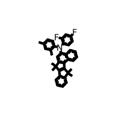 Cc1ccc(N(c2ccc(F)cc2F)c2cc3c(c4ccccc24)C2=C(c4ccccc4C2(C)C)C3(C)C)c(C)c1